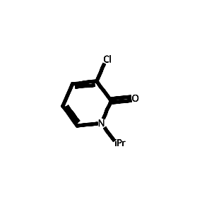 CC(C)n1cccc(Cl)c1=O